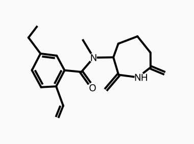 C=Cc1ccc(CC)cc1C(=O)N(C)C1CCCC(=C)NC1=C